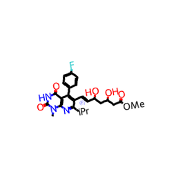 COC(=O)CC(O)CC(O)/C=C/c1c(C(C)C)nc2c(c1-c1ccc(F)cc1)c(=O)[nH]c(=O)n2C